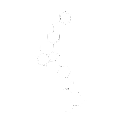 CN[C@H](CC(C)C)C(=O)NC1CCC(n2nc(-c3ccc(Oc4ccccc4)cc3)c3c(N)ncnc32)CC1